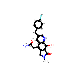 CN1Cc2c(c(O)c3ncc(Cc4ccc(F)cc4)cc3c2CC(N)=O)C1=O